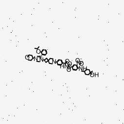 CC(C)Oc1ccccc1[C@H]1CN(C2CCOCC2)CCN1C1CC2(CCN(c3ccc(C(=O)NS(=O)(=O)c4ccc(NCC5CCC(C)(O)CC5)c([N+](=O)[O-])c4)cc3)CC2)C1